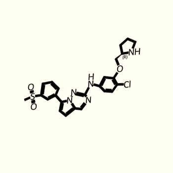 CS(=O)(=O)c1cccc(-c2ccc3cnc(Nc4ccc(Cl)c(OC[C@H]5CCCN5)c4)nn23)c1